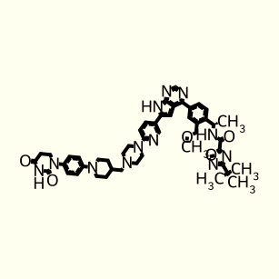 COCc1cc(-c2ncnc3[nH]c(-c4ccc(N5CCN(CC6CCN(c7ccc(N8CCC(=O)NC8=O)cc7)CC6)CC5)nc4)cc23)ccc1[C@@H](C)NC(=O)c1nc(C(C)(C)C)no1